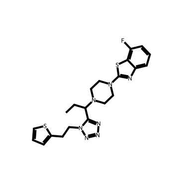 CCC(c1nnnn1CCc1cccs1)N1CCN(c2nc3cccc(F)c3s2)CC1